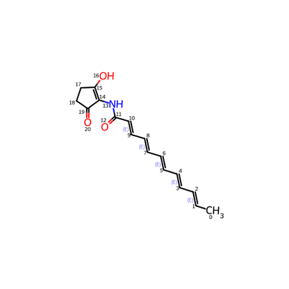 C/C=C/C=C/C=C/C=C/C=C/C(=O)NC1=C(O)CCC1=O